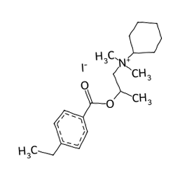 CCc1ccc(C(=O)OC(C)C[N+](C)(C)C2CCCCC2)cc1.[I-]